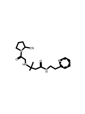 CC(C)(CC(=O)NCCc1ccccn1)NCC(=O)N1CCCC1C#N